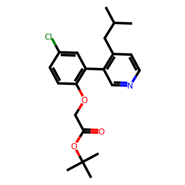 CC(C)Cc1ccncc1-c1cc(Cl)ccc1OCC(=O)OC(C)(C)C